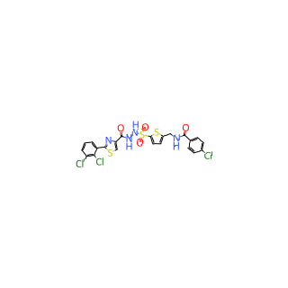 O=C(NCc1ccc(S(=O)(=O)NNC(=O)c2csc(-c3cccc(Cl)c3Cl)n2)s1)c1ccc(Cl)cc1